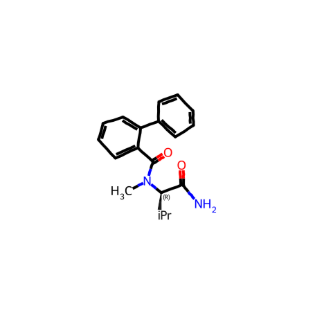 CC(C)[C@H](C(N)=O)N(C)C(=O)c1ccccc1-c1ccccc1